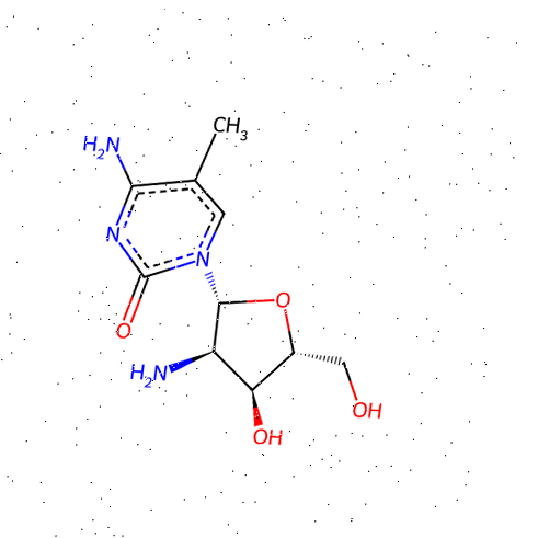 Cc1cn([C@@H]2O[C@H](CO)[C@@H](O)[C@H]2N)c(=O)nc1N